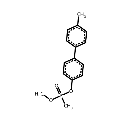 COP(C)(=O)Oc1ccc(-c2ccc(C)cc2)cc1